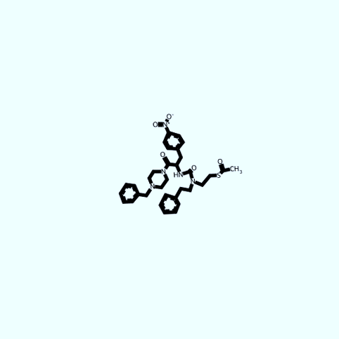 CC(=O)SCCN(CCc1ccccc1)C(=O)NC(Cc1ccc([N+](=O)[O-])cc1)C(=O)N1CCN(Cc2ccccc2)CC1